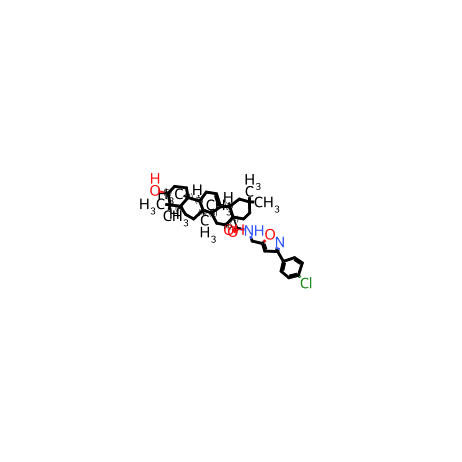 CC1(C)CC[C@]2(C(=O)NCc3cc(-c4ccc(Cl)cc4)no3)[C@H](O)C[C@]3(C)C(=CC[C@@H]4[C@@]5(C)CC[C@H](O)C(C)(C)[C@@H]5CC[C@]43C)[C@@H]2C1